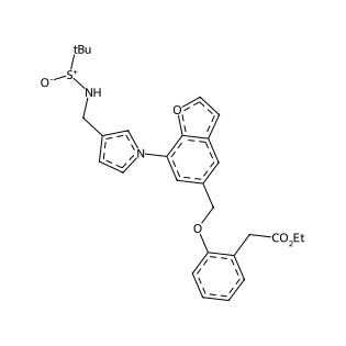 CCOC(=O)Cc1ccccc1OCc1cc(-n2ccc(CN[S+]([O-])C(C)(C)C)c2)c2occc2c1